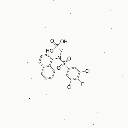 O=P(O)(O)CN(c1cccc2ccccc12)S(=O)(=O)c1cc(Cl)c(F)c(Cl)c1